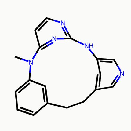 CN1c2cccc(c2)CCc2cncc(c2)Nc2nccc1n2